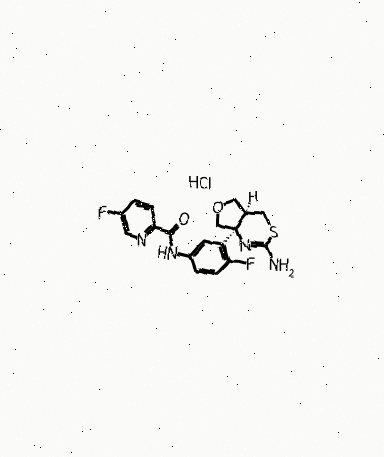 Cl.NC1=N[C@@]2(c3cc(NC(=O)c4ccc(F)cn4)ccc3F)COC[C@H]2CS1